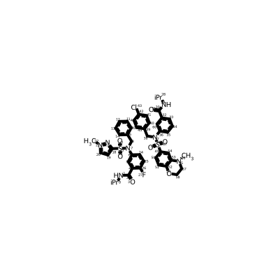 CC(C)NC(=O)c1cc(N(Cc2ccccc2)S(=O)(=O)c2ccn(C)n2)ccc1F.CC(C)NC(=O)c1cccc(N(Cc2ccc(Cl)cc2)S(=O)(=O)c2ccc3c(c2)N(C)CCO3)c1